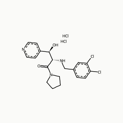 Cl.Cl.O=C([C@@H](NCc1ccc(Cl)c(Cl)c1)[C@H](O)c1ccncc1)N1CCCC1